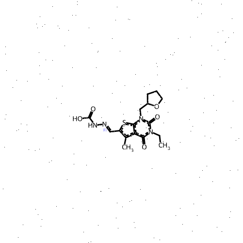 CCn1c(=O)c2c(C)c(/C=N/NC(=O)O)sc2n(CC2CCCO2)c1=O